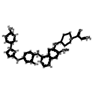 C=CC(=O)N1CCC(Nc2cc3c(Nc4ccc(Oc5ccn(-c6cnc(C)nc6)n5)cc4F)ncnc3cc2OC)CC1